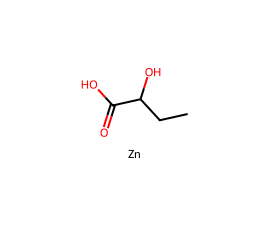 CCC(O)C(=O)O.[Zn]